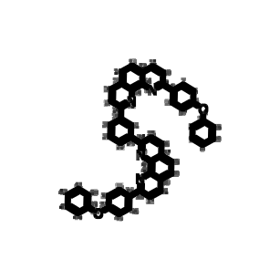 c1ccc(Oc2ccc(-c3ccc4ccc5ccc(-c6cccc(-c7ccc8ccc9ccc(-c%10ccc(Oc%11ccccc%11)cc%10)nc9c8n7)c6)nc5c4n3)cc2)cc1